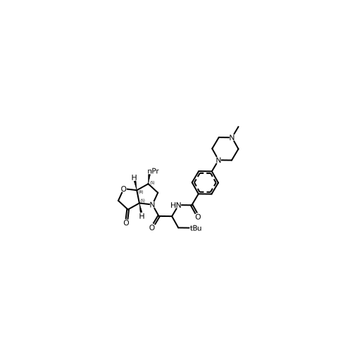 CCC[C@H]1CN(C(=O)C(CC(C)(C)C)NC(=O)c2ccc(N3CCN(C)CC3)cc2)[C@@H]2C(=O)CO[C@H]12